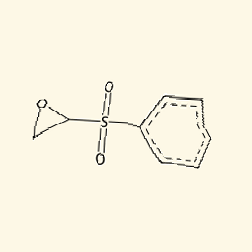 O=S(=O)(c1ccccc1)C1CO1